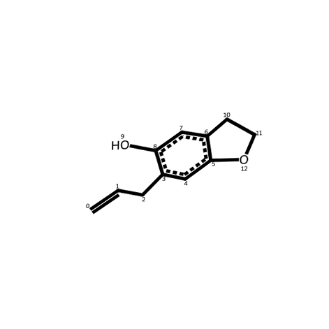 C=CCc1cc2c(cc1O)CCO2